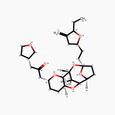 C=C1C[C@H](CC[C@]23CC[C@H](O2)C2O[C@H]4CC[C@H](CC(=O)C[C@@H]5CCOC5)OC4[C@H](O3)[C@@H]2C)OC1CC